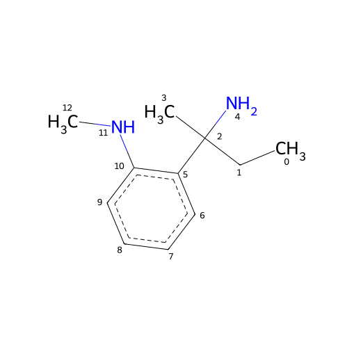 CCC(C)(N)c1ccccc1NC